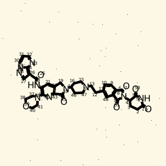 O=C1CCC(N2C(=O)c3ccc(CCN4CCC(N5Cc6cc(NC(=O)c7cnn8cccnc78)c(N7CCOCC7)nc6C5=O)CC4)cc3C2=O)C(=O)N1